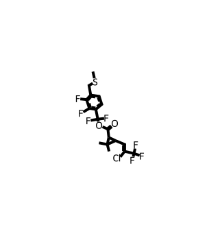 CSCc1ccc(C(F)(F)OC(=O)C2C(C=C(Cl)C(F)(F)F)C2(C)C)c(F)c1F